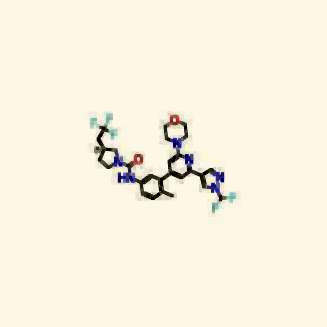 Cc1ccc(NC(=O)N2CC[C@@H](CC(F)(F)F)C2)cc1-c1cc(-c2cnn(C(F)F)c2)nc(N2CCOCC2)c1